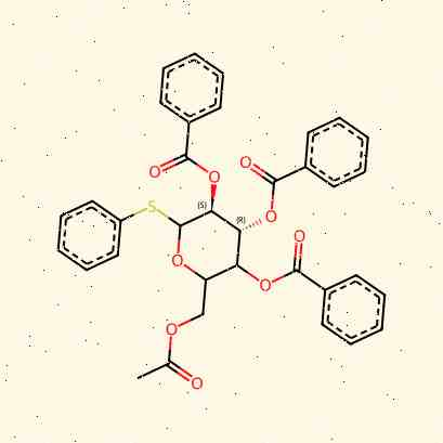 CC(=O)OCC1OC(Sc2ccccc2)[C@@H](OC(=O)c2ccccc2)[C@H](OC(=O)c2ccccc2)C1OC(=O)c1ccccc1